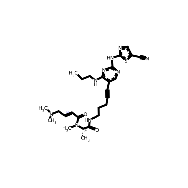 CCCNc1nc(Nc2ncc(C#N)s2)ncc1C#CCCCNC(=O)[C@H](C)N(C)C(=O)/C=C/CN(C)C